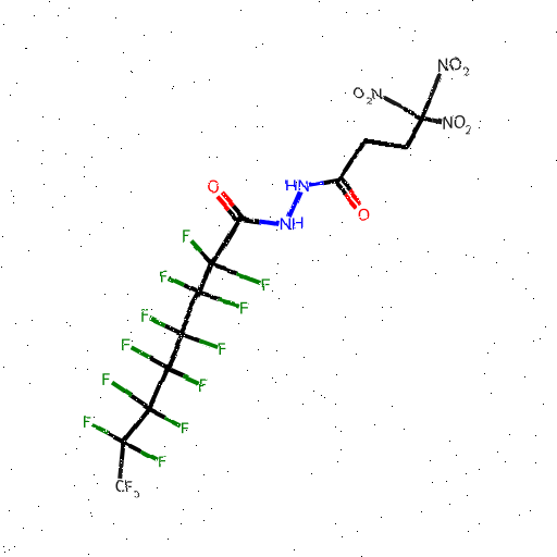 O=C(CCC([N+](=O)[O-])([N+](=O)[O-])[N+](=O)[O-])NNC(=O)C(F)(F)C(F)(F)C(F)(F)C(F)(F)C(F)(F)C(F)(F)C(F)(F)F